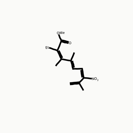 C=C(C)\C(=C/C=C(C)/C(C)=C(/CC)C(=O)OC)[N+](=O)[O-]